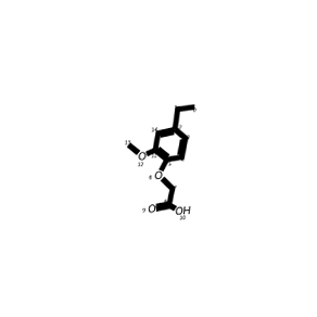 CCc1ccc(OCC(=O)O)c(OC)c1